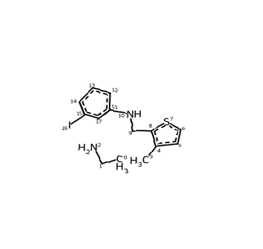 CCN.Cc1ccsc1CNc1cccc(I)c1